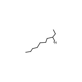 [2H]C(CC)CCCCCCC